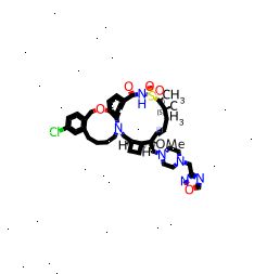 CO[C@@]1(CN2CCN(Cc3ncon3)CC2)/C=C/C[C@H](C)[C@@H](C)S(=O)(=O)NC(=O)c2ccc3c(c2)N(CCCCc2cc(Cl)ccc2CO3)C[C@@H]2CC[C@H]21